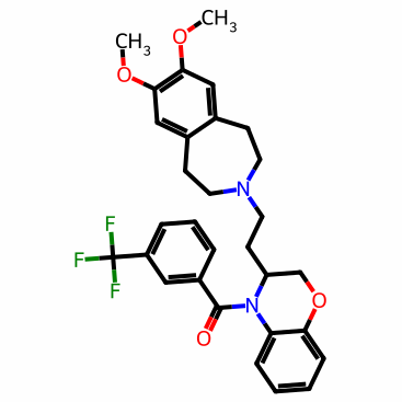 COc1cc2c(cc1OC)CCN(CCC1COc3ccccc3N1C(=O)c1cccc(C(F)(F)F)c1)CC2